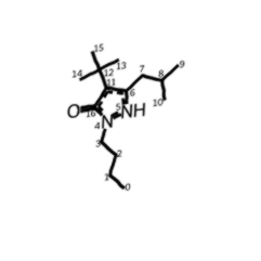 CCCCn1[nH]c(CC(C)C)c(C(C)(C)C)c1=O